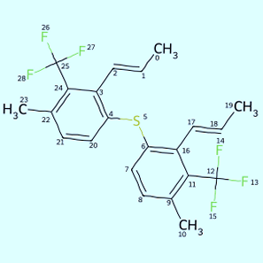 CC=Cc1c(Sc2ccc(C)c(C(F)(F)F)c2C=CC)ccc(C)c1C(F)(F)F